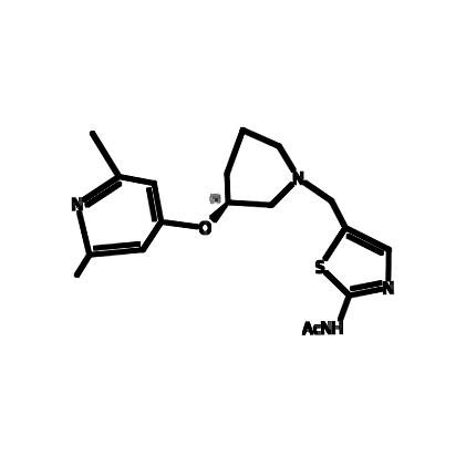 CC(=O)Nc1ncc(CN2CCC[C@H](Oc3cc(C)nc(C)c3)C2)s1